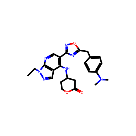 CCn1ncc2c(NC3CCOC(=O)C3)c(-c3noc(Cc4ccc(N(C)C)cc4)n3)cnc21